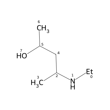 CCNC(C)CC(C)O